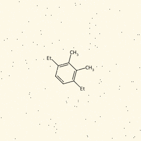 CCc1ccc(CC)c(C)c1C